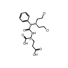 O=C(O)CC[C@H](NC(=O)N(c1ccccc1)N(CCCl)CCCl)C(=O)O